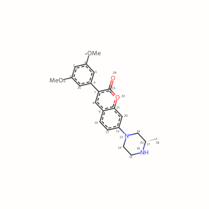 COc1cc(OC)cc(-c2cc3ccc(N4CCN[C@@H](C)C4)cc3oc2=O)c1